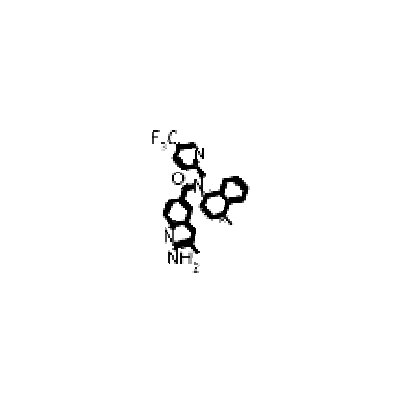 Cc1cc2cc(C(=O)N(Cc3ccc(C(F)(F)F)cn3)[C@H]3CC[C@H](C)c4ccccc43)ccc2nc1N